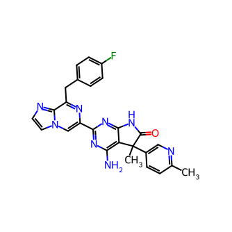 Cc1ccc(C2(C)C(=O)Nc3nc(-c4cn5ccnc5c(Cc5ccc(F)cc5)n4)nc(N)c32)cn1